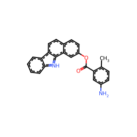 Cc1ccc(N)cc1C(=O)Oc1ccc2ccc3c4ccccc4[nH]c3c2c1